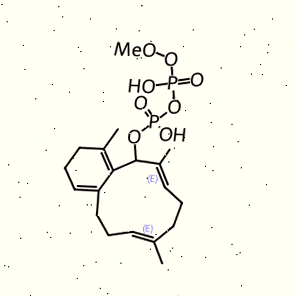 COOP(=O)(O)OP(=O)(O)OC1C2=C(C)CCC=C2CC/C=C(\C)CC/C=C/1C